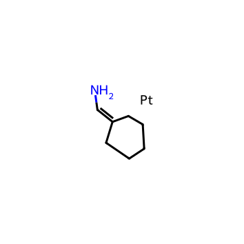 NC=C1CCCCC1.[Pt]